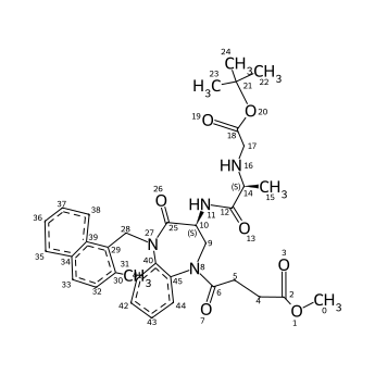 COC(=O)CCC(=O)N1C[C@H](NC(=O)[C@H](C)NCC(=O)OC(C)(C)C)C(=O)N(Cc2c(C)ccc3ccccc23)c2ccccc21